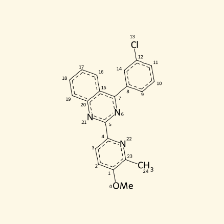 COc1ccc(-c2nc(-c3cccc(Cl)c3)c3ccccc3n2)nc1C